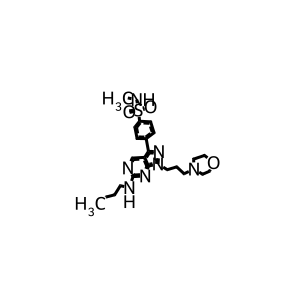 CCCCNc1ncc2c(-c3ccc(S(=O)(=O)NC)cc3)nn(CCCN3CCOCC3)c2n1